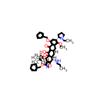 CCCN[C@@H]1c2onc(OCc3ccccc3)c2C(=O)C2(O[Si](C)(C)C(C)(C)C)C(O)=C3C(=O)c4c(OCc5ccccc5)cc([C@@H]5CCCN5CC)c(OC)c4C[C@H]3C[C@@H]12